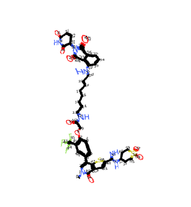 Cn1cc(-c2ccc(OCC(=O)NCCCCCCCCNc3cccc4c3C(=O)N(C3CCC(=O)NC3=O)C4=O)c(C(F)(F)F)c2)c2sc(C(=N)NC3CCS(=O)(=O)CC3)cc2c1=O